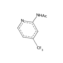 CC(=O)Nc1cc(C(F)(F)F)ccn1